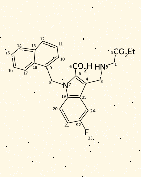 CCOC(=O)CNCc1c(C(=O)O)n(Cc2cccc3ccccc23)c2ccc(F)cc12